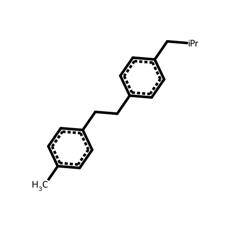 Cc1ccc(CCc2ccc(CC(C)C)cc2)cc1